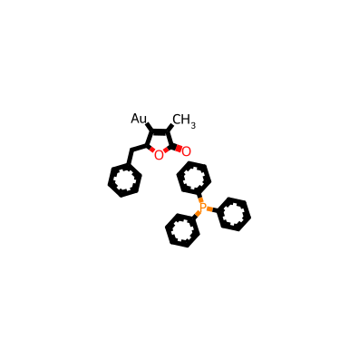 CC1=[C]([Au])C(Cc2ccccc2)OC1=O.c1ccc(P(c2ccccc2)c2ccccc2)cc1